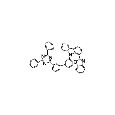 c1ccc(-c2nc(-c3ccccc3)nc(-c3cccc(-c4cccc(-n5c6ccccc6c6cccc(-c7nc8ccccc8o7)c65)c4)c3)n2)cc1